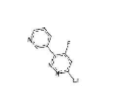 Fc1cc(Cl)nnc1-c1cccnc1